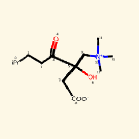 CC(C)CCC(=O)C(O)(CC(=O)[O-])C[N+](C)(C)C